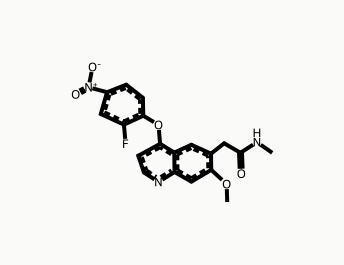 CNC(=O)Cc1cc2c(Oc3ccc([N+](=O)[O-])cc3F)ccnc2cc1OC